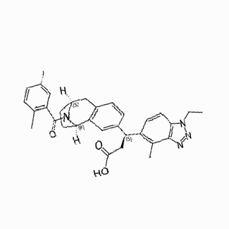 CCn1nnc2c(C)c([C@@H](CC(=O)O)c3ccc4c(c3)[C@H]3CC[C@@H](C4)N3C(=O)c3cc(C)ccc3C)ccc21